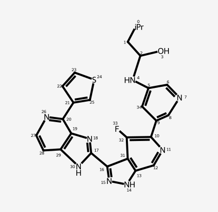 CC(C)CC(O)Nc1cncc(-c2ncc3[nH]nc(-c4nc5c(-c6ccsc6)nccc5[nH]4)c3c2F)c1